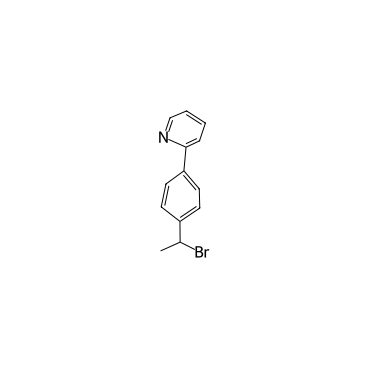 CC(Br)c1ccc(-c2ccccn2)cc1